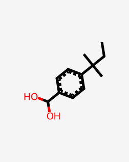 CCC(C)(C)c1ccc(C(O)O)cc1